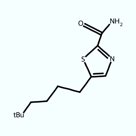 CC(C)(C)CCCCc1cnc(C(N)=O)s1